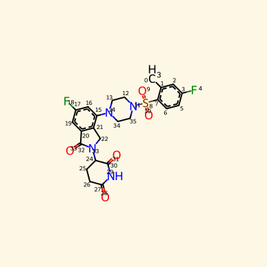 Cc1cc(F)ccc1S(=O)(=O)N1CCN(c2cc(F)cc3c2CN(C2CCC(=O)NC2=O)C3=O)CC1